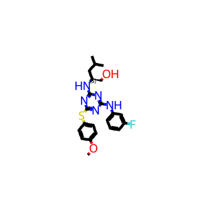 COc1ccc(Sc2nc(Nc3cccc(F)c3)nc(N[C@H](CO)CC(C)C)n2)cc1